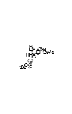 CO/N=C1/CCc2cc(-c3nc(C4CCN(C(=O)OC(C)(C)C)CC4)[nH]c3-c3ccncc3)ccc21